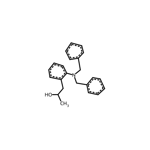 CC(O)Cc1ccccc1N(Cc1ccccc1)Cc1ccccc1